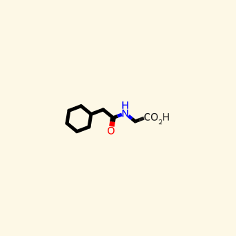 O=C(O)CNC(=O)CC1CCCCC1